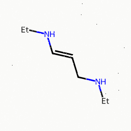 CCNC=CCNCC